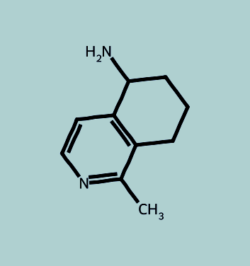 Cc1nccc2c1CCCC2N